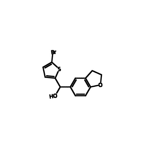 OC(c1ccc2c(c1)CCO2)c1ccc(Br)s1